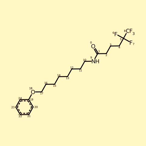 O=C(CCCC(F)(F)C(F)(F)F)NCCCCCCCCOc1cc[c]cc1